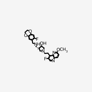 COc1ccc2ncc(F)c(CCN3C[C@H](CNCc4cc5c(cc4F)OCCO5)[C@H](O)C3)c2n1